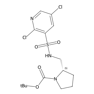 CC(C)(C)OC(=O)N1CCC[C@H]1CNS(=O)(=O)c1cc(Cl)cnc1Cl